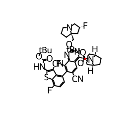 CC(C)(C)OC(=O)Nc1sc2c(F)ccc(-c3c(C#N)cc4c(N5C[C@H]6CC[C@@H](C5)N6C(=O)OC(C)(C)C)nc(OC[C@@]56CCCN5C[C@H](F)C6)nc4c3F)c2c1C#N